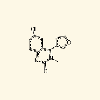 Cn1c(-c2ccoc2)c2cc(Cl)ccc2nc1=O